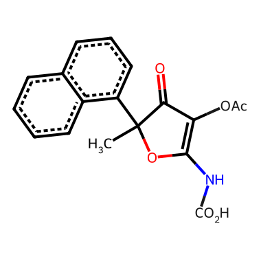 CC(=O)OC1=C(NC(=O)O)OC(C)(c2cccc3ccccc23)C1=O